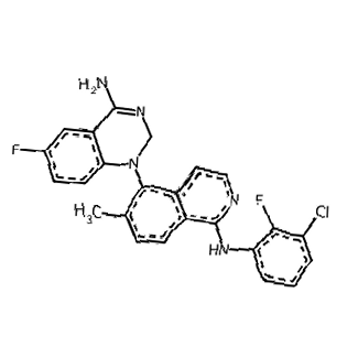 Cc1ccc2c(Nc3cccc(Cl)c3F)nccc2c1N1CN=C(N)c2cc(F)ccc21